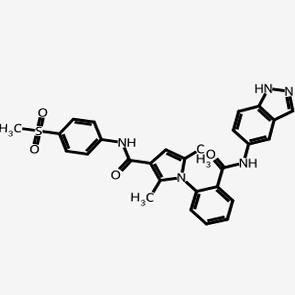 Cc1cc(C(=O)Nc2ccc(S(C)(=O)=O)cc2)c(C)n1-c1ccccc1C(=O)Nc1ccc2[nH]ncc2c1